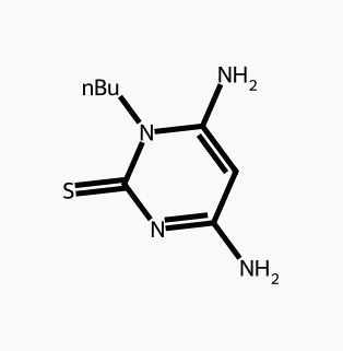 CCCCn1c(N)cc(N)nc1=S